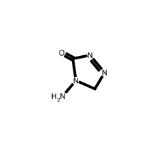 NN1CN=NC1=O